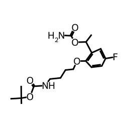 CC(OC(N)=O)c1cc(F)ccc1OCCCCNC(=O)OC(C)(C)C